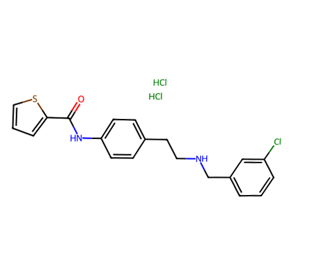 Cl.Cl.O=C(Nc1ccc(CCNCc2cccc(Cl)c2)cc1)c1cccs1